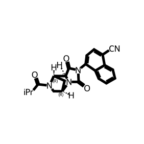 CC(C)C(=O)N1C[C@H]2C[C@@H]1[C@H]1C(=O)N(c3ccc(C#N)c4ccccc34)C(=O)N21